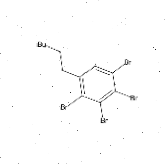 CCC(C)CCc1[c]c(Br)c(Br)c(Br)c1Br